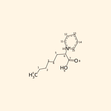 CCCCCCC(C(=O)O)[n+]1ccccc1